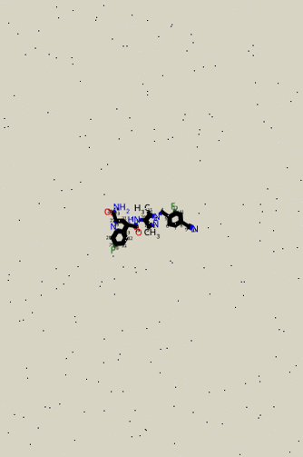 Cc1nn(Cc2ccc(C#N)cc2F)c(C)c1NC(=O)c1cc(C(N)=O)nc2cc(F)ccc12